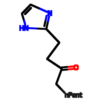 CCCCCCC(=O)CCc1ncc[nH]1